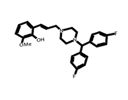 COc1cccc(C=CCN2CCN(C(c3ccc(F)cc3)c3ccc(F)cc3)CC2)c1O